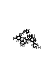 Fc1cc(OCCN2CCCC2)cc(-c2cncc3[nH]c(-c4n[nH]c5cnc(C6=CCNCC6)cc45)nc23)c1